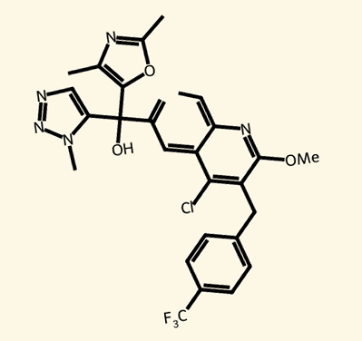 C=C(/C=c1/c(Cl)c(Cc2ccc(C(F)(F)F)cc2)c(OC)n/c1=C/C)C(O)(c1oc(C)nc1C)c1cnnn1C